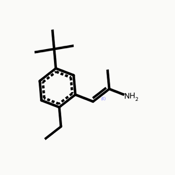 CCc1ccc(C(C)(C)C)cc1/C=C(\C)N